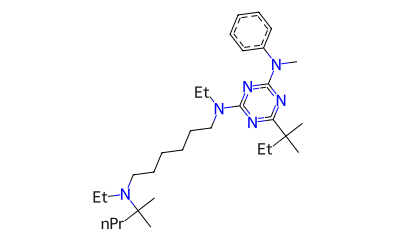 CCCC(C)(C)N(CC)CCCCCCN(CC)c1nc(N(C)c2ccccc2)nc(C(C)(C)CC)n1